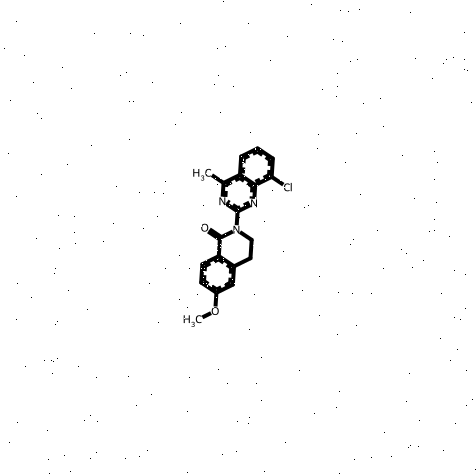 COc1ccc2c(c1)CCN(c1nc(C)c3cccc(Cl)c3n1)C2=O